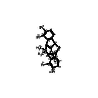 CC1=C2c3c(ccc(C(C)C)c3C(C)C)[CH]1[Zr][CH]1C(C)=C(c3c1ccc(C(C)C)c3C(C)C)[Si]2(C)C